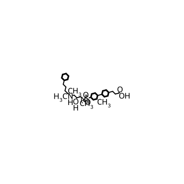 Cc1cc(S(=O)(=O)N(C)CC(O)CNC(C)(C)CCCc2ccccc2)ccc1-c1ccc(CCC(=O)O)cc1